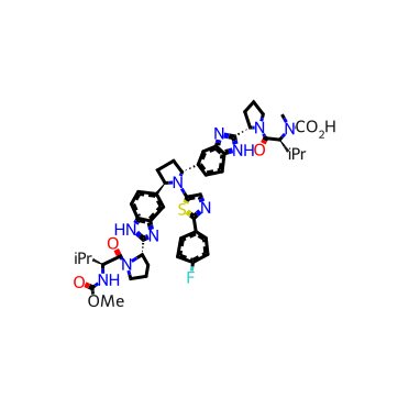 COC(=O)N[C@H](C(=O)N1CCC[C@H]1c1nc2cc([C@H]3CC[C@H](c4ccc5[nH]c([C@@H]6CCCN6C(=O)[C@H](C(C)C)N(C)C(=O)O)nc5c4)N3c3cnc(-c4ccc(F)cc4)s3)ccc2[nH]1)C(C)C